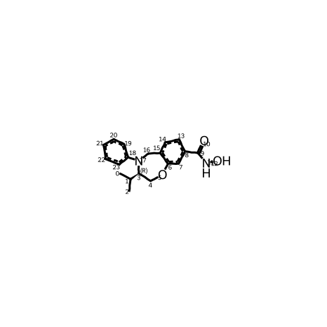 CC(C)[C@@H]1COc2cc(C(=O)NO)ccc2CN1c1ccccc1